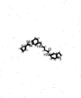 CN1CCc2cc(NC(=O)CCNCc3cccc(/N=C(\N)c4cccs4)c3)ccc21